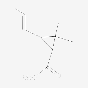 CC=CC1C(C(=O)OC)C1(C)C